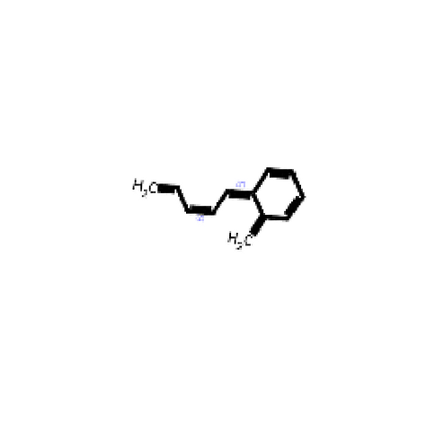 C=C/C=C\C=c1\ccccc1=C